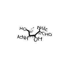 CC(=O)N[C@@H]([C@H](O)[C@H](C=O)NC(C)=O)[C@@H](C)O